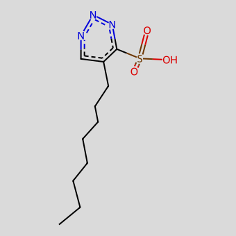 CCCCCCCCc1cnnnc1S(=O)(=O)O